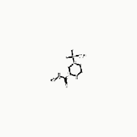 CCOC(=O)[N+](C)(C)N1CCN[C@H](C(=O)NC(C)(C)C)C1